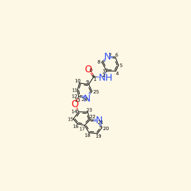 O=C(Nc1cccnc1)c1ccc(Oc2ccc3cccnc3c2)nc1